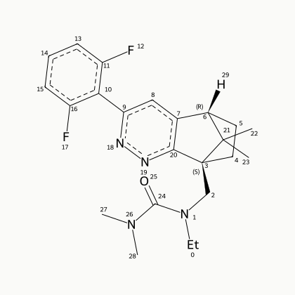 CCN(C[C@@]12CC[C@@H](c3cc(-c4c(F)cccc4F)nnc31)C2(C)C)C(=O)N(C)C